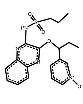 CCCS(=O)(=O)Nc1nc2ccccc2nc1OC(CC)c1ccc[n+]([O-])c1